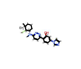 CC[C@]1(C)CCC[C@H](N(C)c2ccc(-c3ccc(-n4ccnc4)cc3O)nn2)[C@H]1F